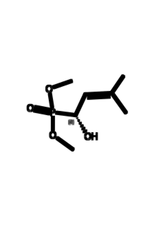 COP(=O)(OC)[C@@H](O)C=C(C)C